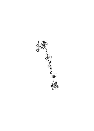 Nc1ncnc2c1nc(Sc1cc(Cl)cc(Cl)c1)n2CCCCCCCCNC(=O)CCOCCOCCOCCOCCNCCCCC[C@H]1SC[C@@H]2NC(=O)N[C@@H]21